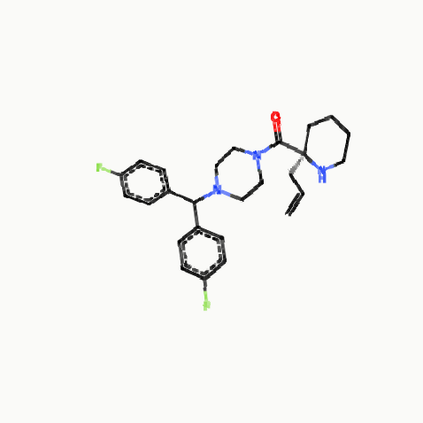 C=CC[C@]1(C(=O)N2CCN(C(c3ccc(F)cc3)c3ccc(F)cc3)CC2)CCCCN1